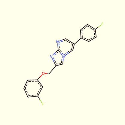 Fc1ccc(-c2cnc3nc(COc4cccc(F)c4)cn3c2)cc1